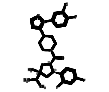 CN(C)[C@]1(C)C[C@@H](C(=O)N2CCC(c3ccnn3-c3ccc(F)c(Cl)c3)CC2)[C@H](c2ccc(F)cc2F)C1